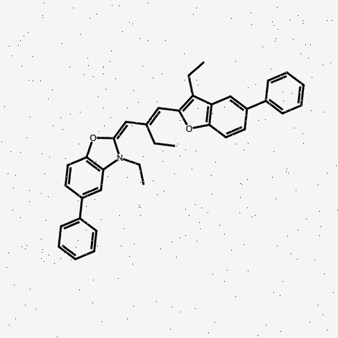 CC/C(C=C1Oc2ccc(-c3ccccc3)cc2N1CC)=C\c1oc2ccc(-c3ccccc3)cc2c1CC